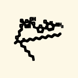 CCCCCCCCCCCCSC(CCCCCCC)C(C)OCCCOP(=O)(O)OP(=O)(O)OC[C@@H]1CC[C@H](n2ccc(N)nc2=O)O1